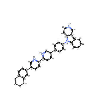 C1=Cc2ccc(-c3ccc(-c4ccc(-c5ccc(-n6c7ccccc7c7cnccc76)cc5)cn4)nc3)cc2CC1